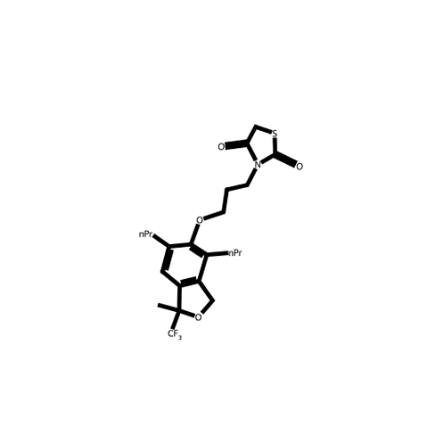 CCCc1cc2c(c(CCC)c1OCCCN1C(=O)CSC1=O)COC2(C)C(F)(F)F